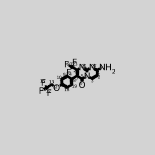 Nc1ccn2c(=O)c(-c3ccc(OCC(F)(F)F)cc3)c(C(F)(F)F)nc2n1